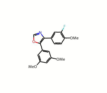 COc1cc(OC)cc(-c2ocnc2-c2ccc(OC)c(F)c2)c1